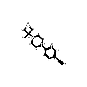 C#Cc1ccc(N2CCN(C3(C)COC3)CC2)nc1